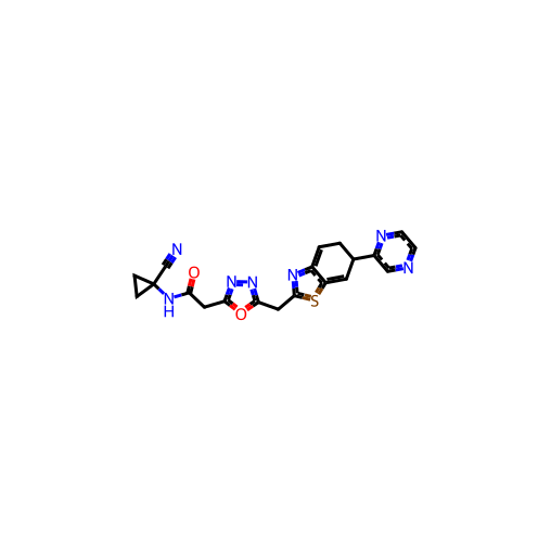 N#CC1(NC(=O)Cc2nnc(Cc3nc4c(s3)=CC(c3cnccn3)CC=4)o2)CC1